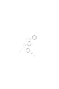 CCOCCN(C)c1nc(Nc2ccc(F)c(Br)c2)ncc1-c1cncc(C(=O)O)c1